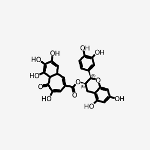 O=C(O[C@@H]1Cc2c(O)cc(O)cc2O[C@@H]1c1ccc(O)c(O)c1)C1=CC2C=C(O)C(O)=C(O)C2C(=O)C(O)=C1